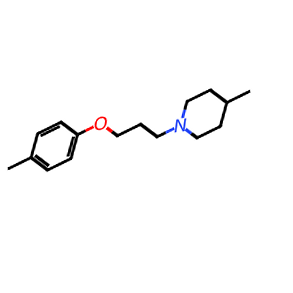 Cc1ccc(OCCCN2CCC(C)CC2)cc1